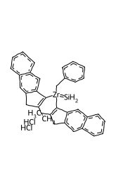 CC1=[C]([Zr](=[SiH2])([CH2]c2ccccc2)[C]2=C(C)Cc3cc4ccccc4cc32)c2cc3ccccc3cc2C1.Cl.Cl